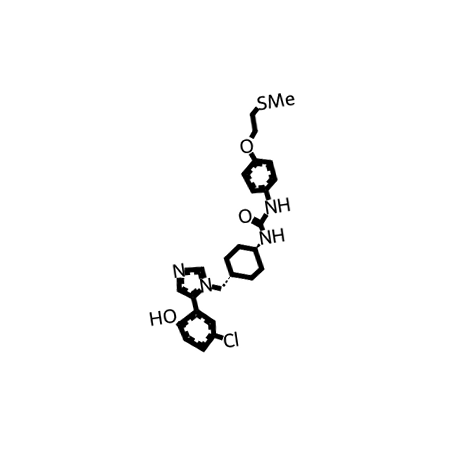 CSCCOc1ccc(NC(=O)N[C@H]2CC[C@@H](Cn3cncc3-c3cc(Cl)ccc3O)CC2)cc1